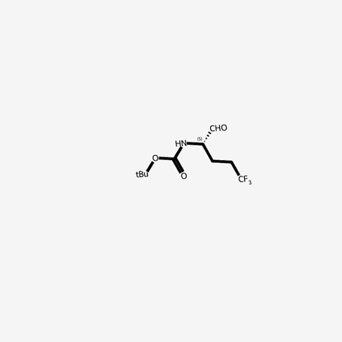 CC(C)(C)OC(=O)N[C@H](C=O)CCC(F)(F)F